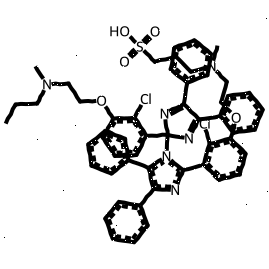 CCCN(C)CCOc1cccc(C2(n3c(-c4cccc(OCCN(C)CCCS(=O)(=O)O)c4Cl)nc(-c4ccccc4)c3-c3ccccc3)N=C(c3ccccc3)C(c3ccccc3)=N2)c1Cl